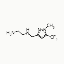 Cn1nc(CNCCN)cc1C(F)(F)F